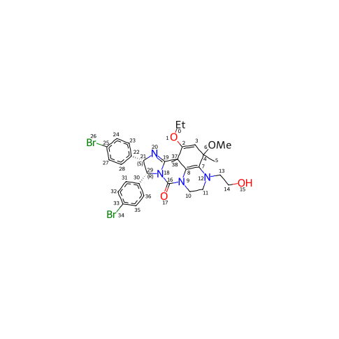 CCOC1=CC(C)(OC)C2=C3N(CCN2CCO)C(=O)N2C(=N[C@@H](c4ccc(Br)cc4)[C@H]2c2ccc(Br)cc2)C13C